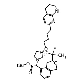 CC(C)(C)OC(=O)C(c1cccc2c1CC(C(C)(C)F)OC2)N1CC[C@@H](OCCCCc2ccc3c(n2)NCCC3)C1